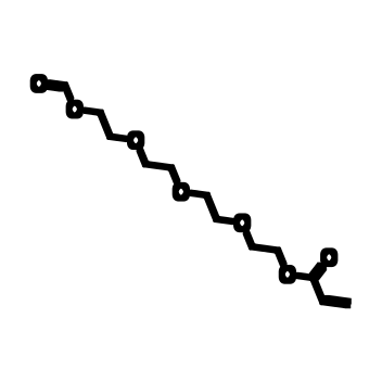 C=CC(=O)OCCOCCOCCOCCOC=O